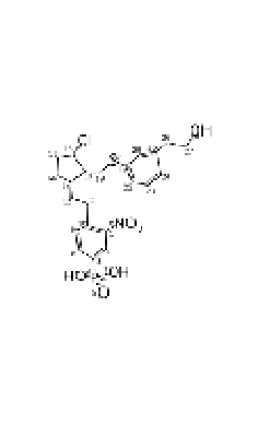 O=[N+]([O-])c1cc(P(=O)(O)O)ccc1CC[C@H]1CCC(Cl)[C@@H]1CSc1cccc(CCO)c1